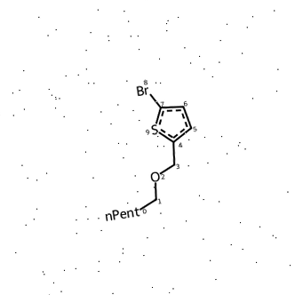 CCCCCCOCc1ccc(Br)s1